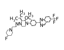 CC(C)=C1C(=O)N(c2ccc(-c3ncc4cc(C(F)(F)F)ccc4n3)cc2C)CCN1/N=C/CN1CCC(F)CC1